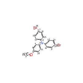 COc1ccc(N(c2ccc(Br)cc2)c2ccc(Br)cc2)cc1